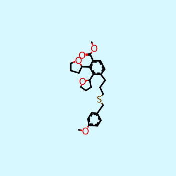 COC(=O)c1ccc(CCCSCc2ccc(OC)cc2)c(C2CCCO2)c1C1CCCO1